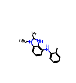 CCCCN1c2cccc(Nc3ccccc3C)c2NC1C(C)C